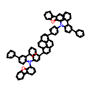 c1ccc(-c2ccc(N(c3ccc(-c4ccc5ccc6c(-c7ccc(N(c8ccc(-c9ccccc9)cc8-c8ccccc8)c8cccc9c8oc8ccccc89)cc7)ccc7ccc4c5c76)cc3)c3cccc4c3oc3ccccc34)c(-c3ccccc3)c2)cc1